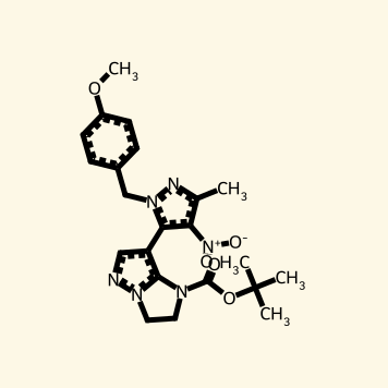 COc1ccc(Cn2nc(C)c([N+](=O)[O-])c2-c2cnn3c2N(C(=O)OC(C)(C)C)CC3)cc1